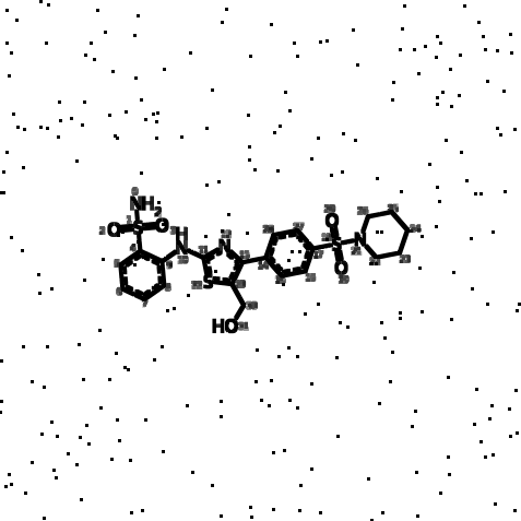 NS(=O)(=O)c1ccccc1Nc1nc(-c2ccc(S(=O)(=O)N3CCCCC3)cc2)c(CO)s1